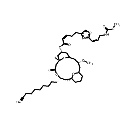 C#CCCCCCCCC[C@H]1C[C@@H]2CCCC(C[C@@H](OC)CC3C[C@@H](OC(=O)/C=C\CCc4coc(/C=C\CNC(=O)OC)n4)C[C@@H](CC(=O)O1)O3)O2